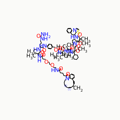 C=C1C#Cc2ccccc2N(C(=O)CCCC(=O)NCCOCCOCCC(=O)N[C@H](C(=O)NC(CCCNC(N)=O)C(=O)Nc2ccc(COC(=O)N(C)[C@H](C(=O)N[C@H](C(=O)N(C)[C@@H](C3CCCCC3)[C@@H](CC(=O)N3CCC[C@H]3[C@H](OC)[C@@H](C)C(=O)NC(Cc3ccccc3)c3nccs3)OC)C(C)C)C(C)C)cc2)C(C)C)CC/C=C\C=C/1